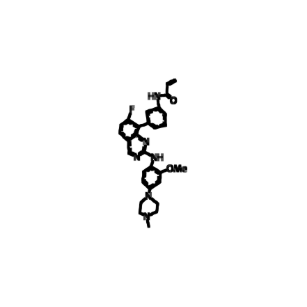 C=CC(=O)Nc1cccc(-c2c(F)ccc3cnc(Nc4ccc(N5CCN(C)CC5)cc4OC)nc23)c1